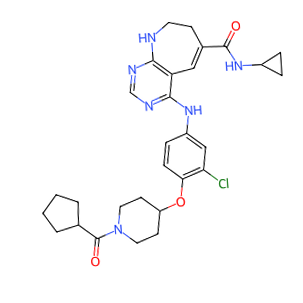 O=C(NC1CC1)C1=Cc2c(ncnc2Nc2ccc(OC3CCN(C(=O)C4CCCC4)CC3)c(Cl)c2)NCC1